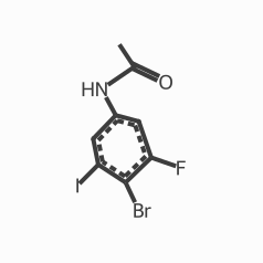 CC(=O)Nc1cc(F)c(Br)c(I)c1